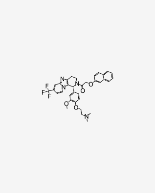 COc1cc(C2c3c(nc4cc(C(F)(F)F)ccn34)CCN2C(=O)COc2ccc3ccccc3c2)ccc1OCCN(C)C